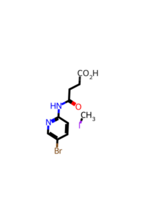 CI.O=C(O)CCC(=O)Nc1ccc(Br)cn1